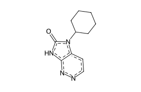 O=c1[nH]c2nnccc2n1C1CCCCC1